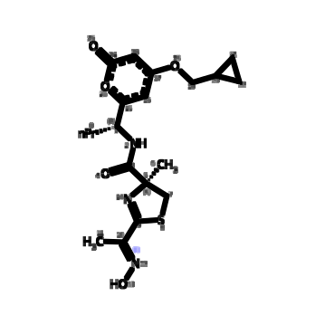 CCC[C@@H](NC(=O)[C@@]1(C)CSC(/C(C)=N/O)=N1)c1cc(OCC2CC2)cc(=O)o1